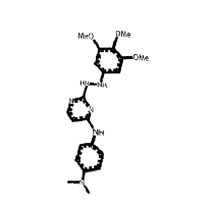 COc1cc(NNc2nccc(Nc3ccc(N(C)C)cc3)n2)cc(OC)c1OC